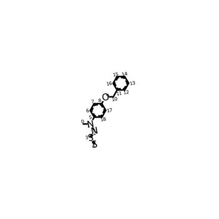 CN(N=S=S)c1ccc(OCc2ccccc2)cc1